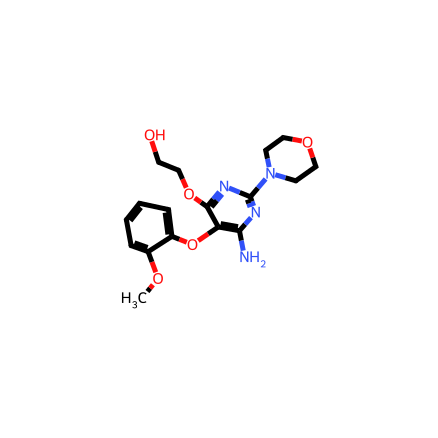 COc1ccccc1Oc1c(N)nc(N2CCOCC2)nc1OCCO